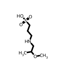 COC(C)CNCCCS(=O)(=O)O